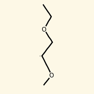 CCOC[CH]OC